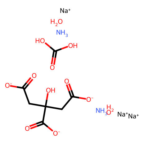 N.N.O.O.O=C(O)O.O=C([O-])CC(O)(CC(=O)[O-])C(=O)[O-].[Na+].[Na+].[Na+]